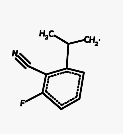 [CH2]C(C)c1cccc(F)c1C#N